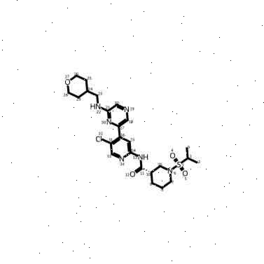 CC(C)S(=O)(=O)N1CCC[C@H](C(=O)Nc2cc(-c3cncc(NCC4CCOCC4)n3)c(Cl)cn2)C1